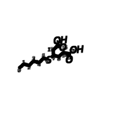 CCCCCCSC(CCC(=O)O)CC(=O)O